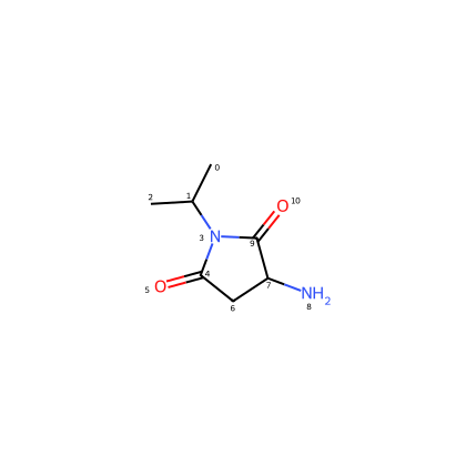 CC(C)N1C(=O)CC(N)C1=O